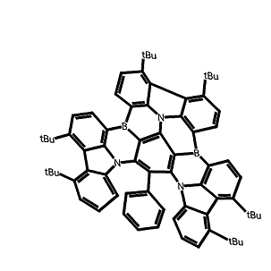 CC(C)(C)c1cccc2c1c1c(C(C)(C)C)ccc3c1n2-c1c2c4c5c(c1-c1ccccc1)-n1c6cccc(C(C)(C)C)c6c6c(C(C)(C)C)ccc(c61)B5c1ccc(C(C)(C)C)c5c6c(C(C)(C)C)ccc(c6n-4c15)B23